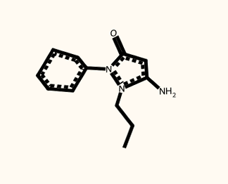 CCCn1c(N)cc(=O)n1-c1ccccc1